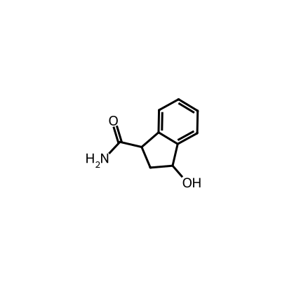 NC(=O)C1CC(O)c2ccccc21